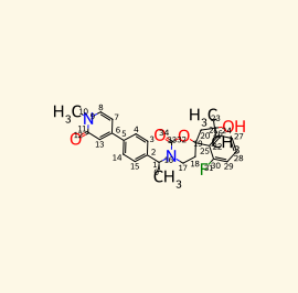 C[C@@H](c1ccc(-c2ccn(C)c(=O)c2)cc1)N1CCC(CC(C)(C)O)(c2ccccc2F)OC1=O